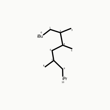 CCC(C)CC(C)C(C)CC(C)CC(C)C